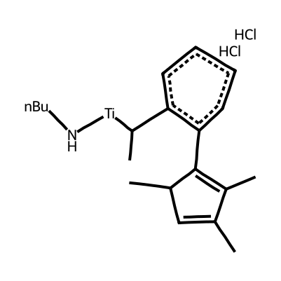 CCCC[NH][Ti][CH](C)c1ccccc1C1=C(C)C(C)=CC1C.Cl.Cl